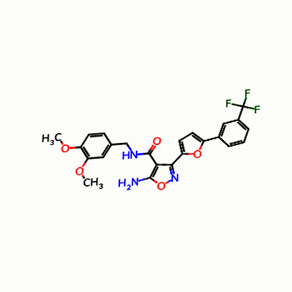 COc1ccc(CNC(=O)c2c(-c3ccc(-c4cccc(C(F)(F)F)c4)o3)noc2N)cc1OC